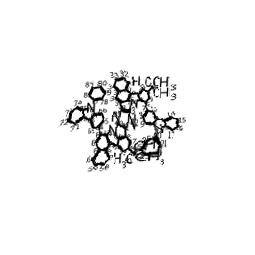 CC(C)(C)c1cc(-c2ccc3c(c2)c2ccccc2n3-c2ccccc2)c2c(c1)c1c3ccccc3cc3c4nc5c(nc4n2c31)c1cc(C(C)(C)C)cc2c3c4ccccc4cc(-c4ccc6c(c4)c4ccccc4n6-c4ccccc4)c3n5c12